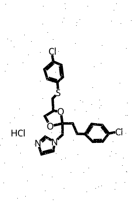 Cl.Clc1ccc(CCC2(Cn3ccnc3)OCC(CSc3ccc(Cl)cc3)O2)cc1